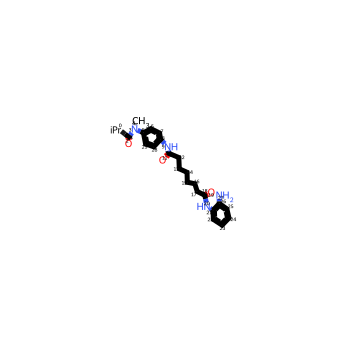 CC(C)C(=O)N(C)c1ccc(NC(=O)CCCCCCC(=O)Nc2ccccc2N)cc1